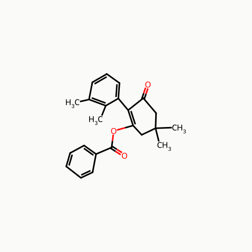 Cc1cccc(C2=C(OC(=O)c3ccccc3)CC(C)(C)CC2=O)c1C